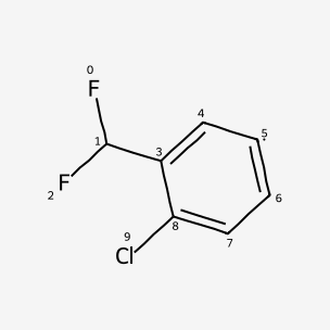 FC(F)c1c[c]ccc1Cl